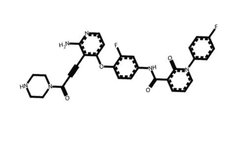 Nc1nccc(Oc2ccc(NC(=O)c3cccn(-c4ccc(F)cc4)c3=O)cc2F)c1C#CC(=O)N1CCNCC1